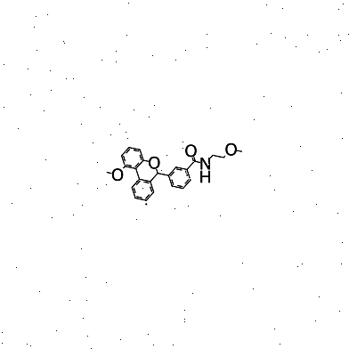 COCCNC(=O)c1cccc(C2Oc3cccc(OC)c3-c3cc[c]cc32)c1